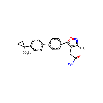 CCOC(=O)C1(c2ccc(-c3ccc(-c4onc(C)c4CC(N)=O)cc3)cc2)CC1